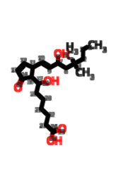 CCCC(C)(C)CC(O)C=CC1C=CC(=O)C1C(O)CCCCCC(=O)O